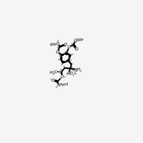 CCCCCC(=O)O[C@@H](C)CC(N)(Cc1ccc(OC(=O)OC)c(OC(=O)OC)c1)C(=O)O